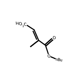 CCCCOC(=O)/C(C)=C/C(=O)O